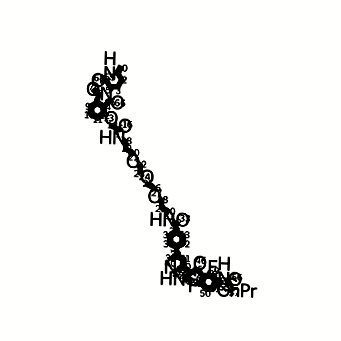 C=C1CCC(N2C(=O)c3cccc(OCC(=O)NCCCOCCOCCOCCCNC(=O)c4ccc(-c5cnc6[nH]cc(C(=O)c7c(F)ccc(NS(=O)(=O)CCC)c7F)c6c5)cc4)c3C2=O)C(=O)N1